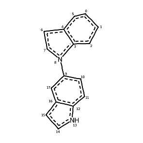 [c]1ccc2c(c1)ccn2-c1ccc2[nH]ccc2c1